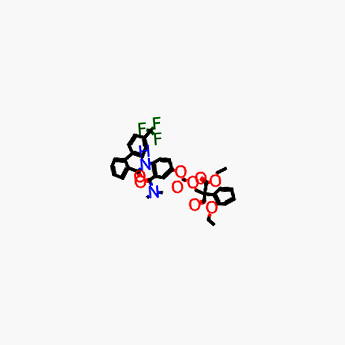 CCOC(=O)C(COC(=O)Oc1ccc(NC(=O)c2ccccc2-c2ccc(C(F)(F)F)cc2)c(C(=O)N(C)C)c1)(C(=O)OCC)c1ccccc1